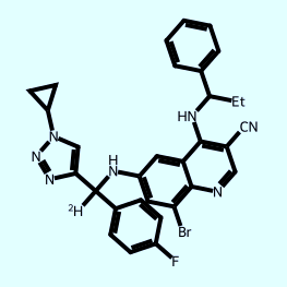 [2H]C(Nc1cc(Br)c2ncc(C#N)c(NC(CC)c3ccccc3)c2c1)(c1ccc(F)cc1)c1cn(C2CC2)nn1